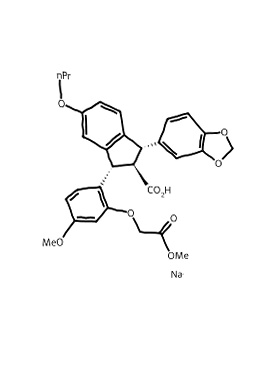 CCCOc1ccc2c(c1)[C@@H](c1ccc(OC)cc1OCC(=O)OC)[C@H](C(=O)O)[C@H]2c1ccc2c(c1)OCO2.[Na]